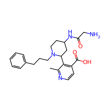 Cc1nccc(C(=O)O)c1C1CC(NC(=O)CN)CCN1CCCc1ccccc1